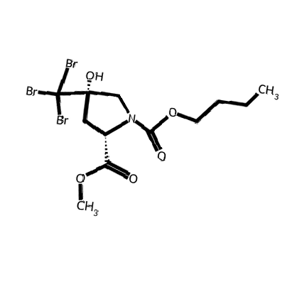 CCCCOC(=O)N1C[C@](O)(C(Br)(Br)Br)C[C@H]1C(=O)OC